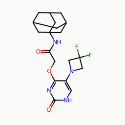 O=C(COc1nc(=O)[nH]cc1N1CC(F)(F)C1)NC12CC3CC(CC(C3)C1)C2